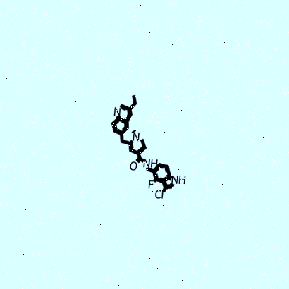 C=N/C(=C\C(=C/C)C(=O)NCc1ccc2[nH]cc(Cl)c2c1F)Cc1ccc2ncc(CC)cc2c1